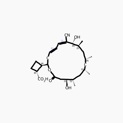 C[C@@H]1C[C@H](C)C[C@H](C)[C@@H](O)CC(=O)OC([C@@H]2CC[C@H]2C(=O)O)C/C=C/C=C(/C#N)[C@H](O)[C@@H](C)C1